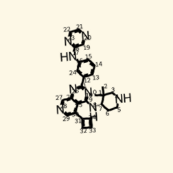 CC1(C)CNCC[C@@H]1Nc1nc(-c2cccc(Nc3cnccn3)c2)nc2cncc(C3=CC=C3)c12